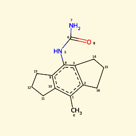 Cc1c2c(c(NC(N)=O)c3c1CCC3)CCC2